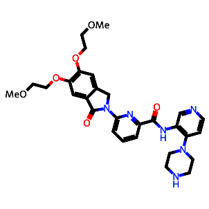 COCCOc1cc2c(cc1OCCOC)C(=O)N(c1cccc(C(=O)Nc3cnccc3N3CCNCC3)n1)C2